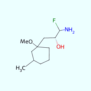 COC1(C[C@@H](O)C(N)F)CCCC(C)C1